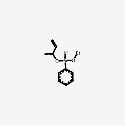 C=CC(C)O[Si](CC)(OCC)c1ccccc1